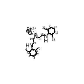 Cc1cccc(C)c1NCCN(C)CCNc1c(C)cccc1C.[Cl-].[Cl-].[Pt+2]